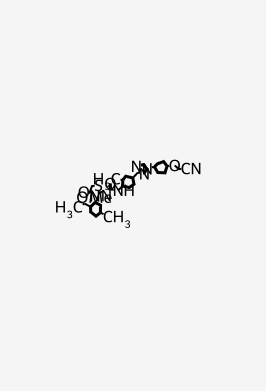 COC(C)c1ccc(C)cc1N1C(=O)CSC1=NC(=O)Nc1ccc(-c2ncn(-c3ccc(OCC#N)cc3)n2)cc1C